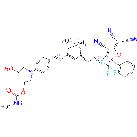 CNC(=O)OCCN(CCO)c1ccc(/C=C/C2=CC(=C/C=C/C3=C(C#N)C(=C(C#N)C#N)OC3(c3ccccc3)C(F)(F)F)/CC(C)(C)C2)cc1